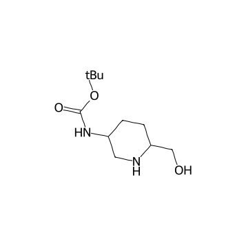 CC(C)(C)OC(=O)NC1CCC(CO)NC1